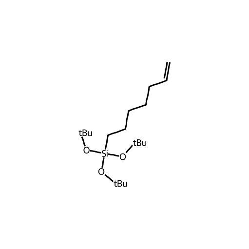 C=CCCCCC[Si](OC(C)(C)C)(OC(C)(C)C)OC(C)(C)C